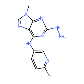 Cn1cnc2c(Nc3ccc(Cl)nc3)nc(NN)nc21